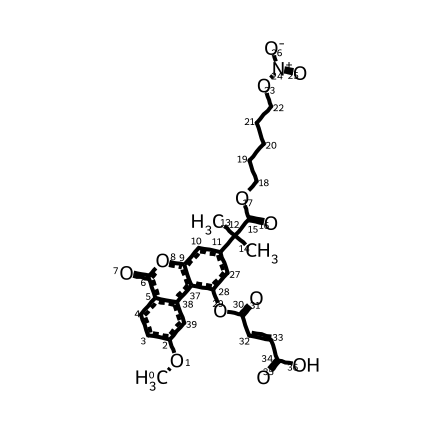 COc1ccc2c(=O)oc3cc(C(C)(C)C(=O)OCCCCCO[N+](=O)[O-])cc(OC(=O)/C=C/C(=O)O)c3c2c1